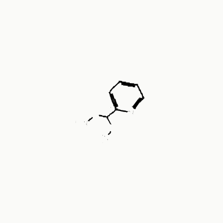 O=[N+]([O-])OC(O[N+](=O)[O-])c1ccccn1